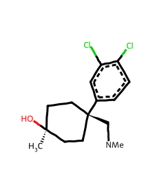 CNC[C@]1(c2ccc(Cl)c(Cl)c2)CC[C@](C)(O)CC1